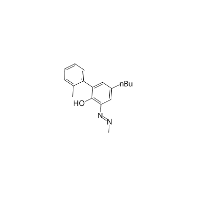 CCCCc1cc(/N=N/C)c(O)c(-c2ccccc2C)c1